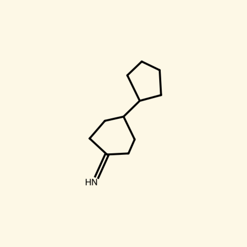 N=C1CCC(C2CCCC2)CC1